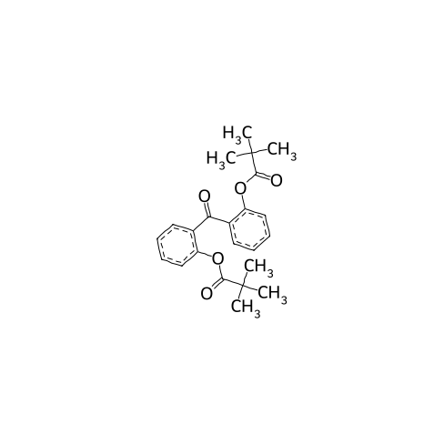 CC(C)(C)C(=O)Oc1ccccc1C(=O)c1ccccc1OC(=O)C(C)(C)C